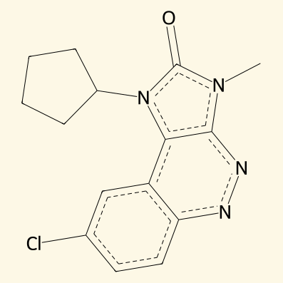 Cn1c(=O)n(C2CCCC2)c2c3cc(Cl)ccc3nnc21